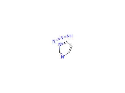 [N-]=[N+]=N.c1cncnc1